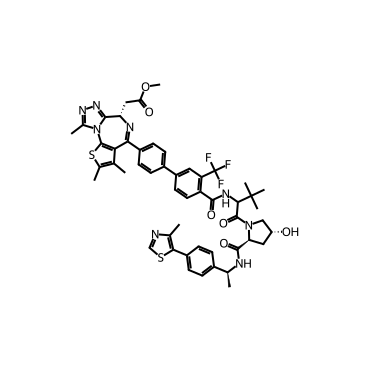 COC(=O)C[C@@H]1N=C(c2ccc(-c3ccc(C(=O)NC(C(=O)N4C[C@H](O)C[C@H]4C(=O)N[C@@H](C)c4ccc(-c5scnc5C)cc4)C(C)(C)C)c(C(F)(F)F)c3)cc2)c2c(sc(C)c2C)-n2c(C)nnc21